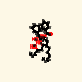 C=CC(CCCC)C(O)CC(C)O.O=C(O)c1ccccc1.O=C(O)c1ccccc1